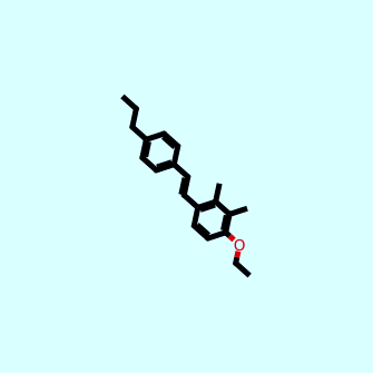 CCCc1ccc(C=Cc2ccc(OCC)c(C)c2C)cc1